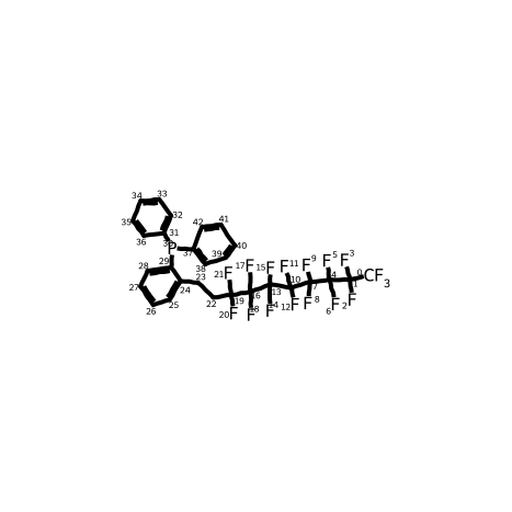 FC(F)(F)C(F)(F)C(F)(F)C(F)(F)C(F)(F)C(F)(F)C(F)(F)C(F)(F)CCc1ccccc1P(c1ccccc1)c1ccccc1